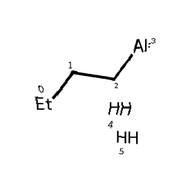 CCC[CH2][Al].[HH].[HH]